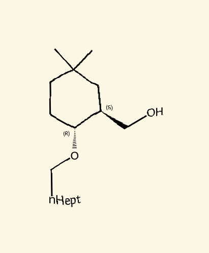 CCCCCCCCO[C@@H]1CCC(C)(C)C[C@H]1CO